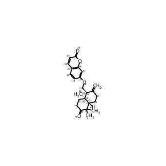 C=C1CC[C@@H]2C(C)(C)C(=O)CC[C@@]2(C)[C@H]1COc1ccc2ccc(=O)oc2c1